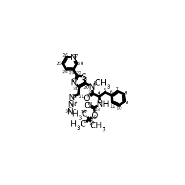 CN(C(=O)C(Cc1ccccc1)NC(=O)OC(C)(C)C)c1sc(-c2cccnc2)nc1CN=[N+]=[N-]